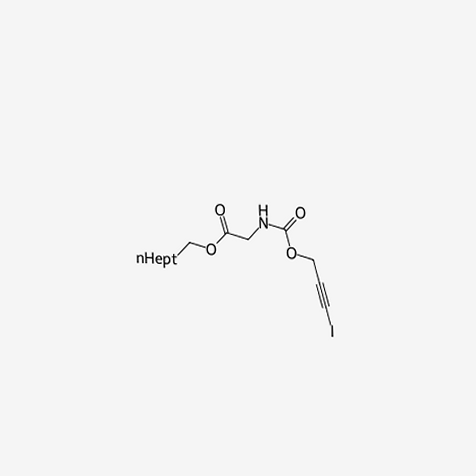 CCCCCCCCOC(=O)CNC(=O)OCC#CI